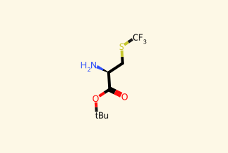 CC(C)(C)OC(=O)[C@@H](N)CSC(F)(F)F